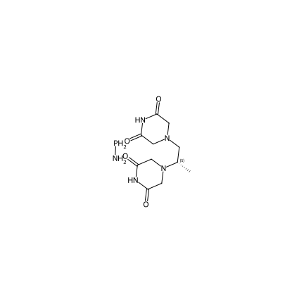 C[C@@H](CN1CC(=O)NC(=O)C1)N1CC(=O)NC(=O)C1.NP